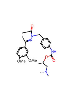 COc1ccc(C2=NN(Cc3ccc(NC(=O)OC(C)CN(C)C)cc3)C(=O)CC2)cc1OC